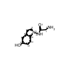 NCC(=O)Nn1ccc2cc(O)ccc21